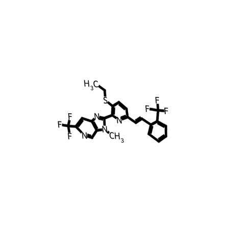 CCSc1ccc(/C=C/c2ccccc2C(F)(F)F)nc1-c1nc2cc(C(F)(F)F)ncc2n1C